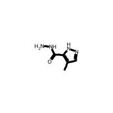 Cc1cn[nH]c1C(=O)NN